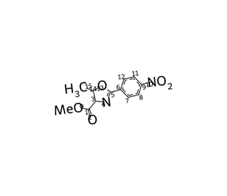 COC(=O)C1N=C(c2ccc([N+](=O)[O-])cc2)OC1C